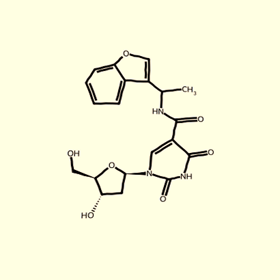 CC(NC(=O)c1cn([C@H]2C[C@H](O)[C@@H](CO)O2)c(=O)[nH]c1=O)c1coc2ccccc12